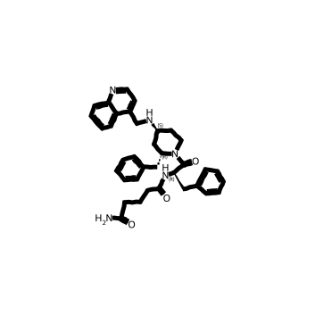 NC(=O)CCCC(=O)N[C@H](Cc1ccccc1)C(=O)N1CC[C@H](NCc2ccnc3ccccc23)C[C@H]1Cc1ccccc1